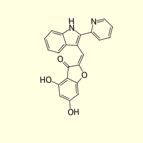 O=C1C(=Cc2c(-c3ccccn3)[nH]c3ccccc23)Oc2cc(O)cc(O)c21